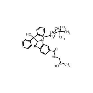 C[C@@H](O)CNC(=O)c1ccc2c(c1)N(CCO[Si](C)(C)C(C)(C)C)C(C(O)(c1ccccc1)c1ccccc1)N2